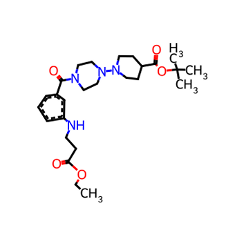 CCOC(=O)CCNc1cccc(C(=O)N2CCN(N3CCC(C(=O)OC(C)(C)C)CC3)CC2)c1